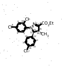 CCOC(=O)C1=NN(c2ccc(Cl)cc2Cl)[C@H](c2ccc(Cl)cc2)[C@H]1C